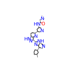 Cc1cccc(-c2cncc3[nH]c(-c4n[nH]c5ccc(-c6cncc(NC(=O)CN(C)C)c6)nc45)nc23)c1